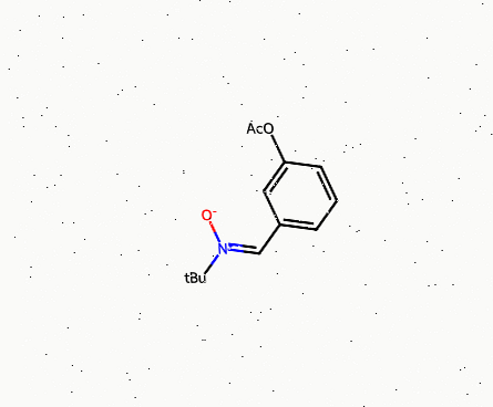 CC(=O)Oc1cccc(C=[N+]([O-])C(C)(C)C)c1